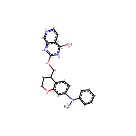 CN(c1ccccc1)c1ccc2c(c1)OCCC2COc1nc(O)c2ccncc2n1